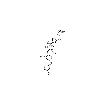 CO[C@H]1COc2cc(S(=O)(=O)NC(=O)Cc3c(C(C)C)cc(Oc4ccc(F)c(Cl)c4)cc3C(C)C)nn2C1